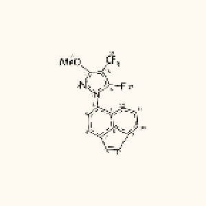 COc1nn(-c2ccc3c4c(cccc24)C=C3)c(F)c1C(F)(F)F